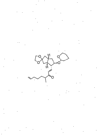 C=CCCCC(C)C(=O)C=C[C@@H]1[C@@H]2CC3(C[C@@H]2C[C@H]1OC1CCCCO1)OCCO3